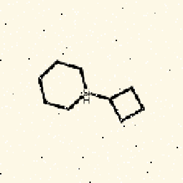 C1CC[SiH](C2CCC2)CC1